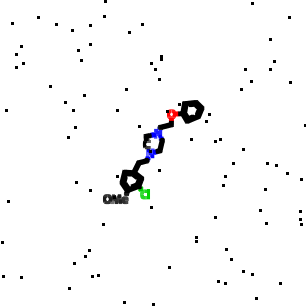 COc1ccc(CCN2CCN(CCOc3ccccc3)CC2)cc1Cl